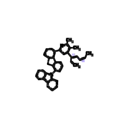 C=C/C(=C\C=C/C)c1cc(-c2cccc3c2-c2cccc(-n4c5ccccc5c5ccccc54)c2C3)nc(C)c1C